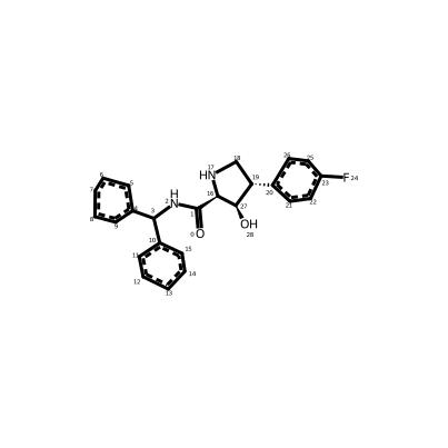 O=C(NC(c1ccccc1)c1ccccc1)[C@H]1NC[C@H](c2ccc(F)cc2)[C@H]1O